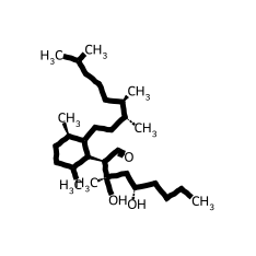 CCCC[C@H](O)C[C@@](C)(O)[C@H](C=O)C1C(C)CC[C@@H](C)C1CC[C@@H](C)[C@H](C)CCCC(C)C